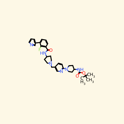 CC(C)(C)OC(=O)NC1CCN(c2ccc(CN3CCC(NC(=O)c4cccc(-c5cccnc5)c4F)CC3)cn2)CC1